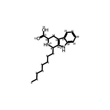 CCCCCCCCC1NC(C(=O)O)Cc2c1[nH]c1ccccc21